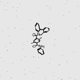 Cc1cc(C(=O)N2Cc3ccccc3-c3ccccc32)c(C)cc1C(=O)Nc1ccccc1